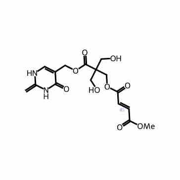 C=C1NC=C(COC(=O)C(CO)(CO)COC(=O)/C=C/C(=O)OC)C(=O)N1